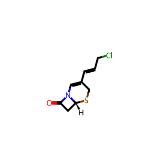 O=C1C[C@H]2SCC(C=CCCl)=CN12